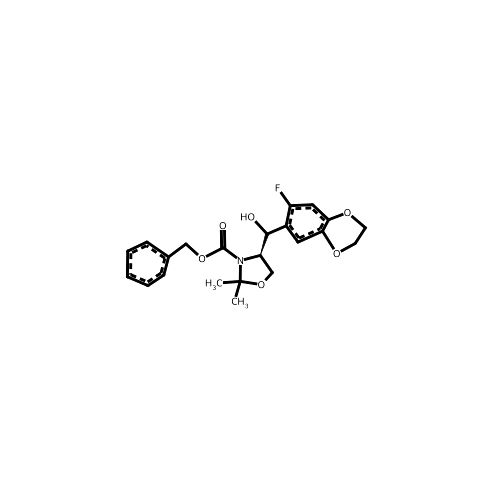 CC1(C)OC[C@H](C(O)c2cc3c(cc2F)OCCO3)N1C(=O)OCc1ccccc1